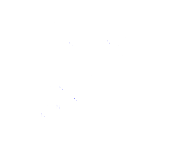 c1ccc2c(c1)ccc1c3ccccc3n(-c3cc(-c4ccc5c6ccccc6n(-c6nc7ccccc7c7nc8ccccc8n67)c5c4)cc(-n4c5ccccc5c5ccc6ccccc6c54)c3)c21